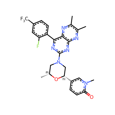 Cc1nc2nc(N3C[C@@H](C)O[C@@H](c4ccc(=O)n(C)c4)C3)nc(-c3ccc(C(F)(F)F)cc3F)c2nc1C